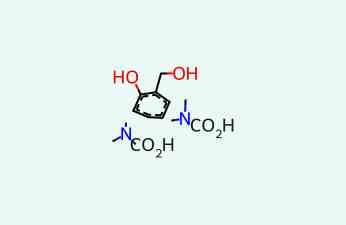 CN(C)C(=O)O.CN(C)C(=O)O.OCc1ccccc1O